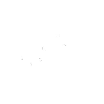 O=C(c1cnc2c(c1)c(Cl)cn2-c1ccncn1)N1CCC(F)CC1